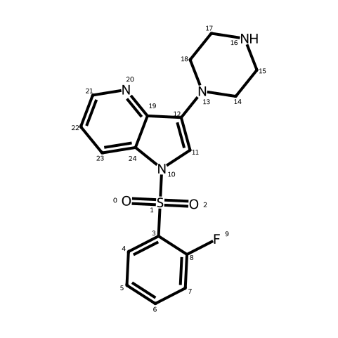 O=S(=O)(c1ccccc1F)n1cc(N2CCNCC2)c2ncccc21